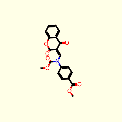 COC(=O)c1ccc(N(C=C2C(=O)Oc3ccccc3C2=O)C(=O)OC)cc1